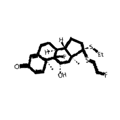 CCS[C@@]1(SCCF)CC[C@H]2[C@@H]3CCC4=CC(=O)C=C[C@]4(C)C3(F)[C@@H](O)C[C@@]21C